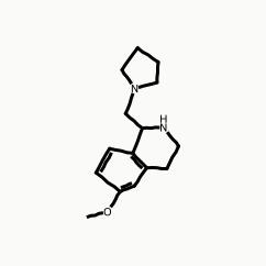 COc1ccc2c(c1)CCNC2CN1CCCC1